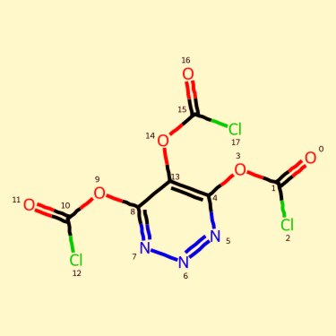 O=C(Cl)Oc1nnnc(OC(=O)Cl)c1OC(=O)Cl